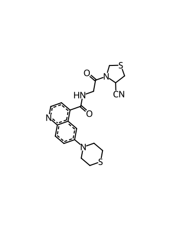 N#CC1CSCN1C(=O)CNC(=O)c1ccnc2ccc(N3CCSCC3)cc12